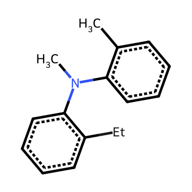 CCc1ccccc1N(C)c1ccccc1C